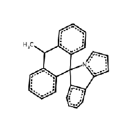 CC1c2ccccc2C2(c3ccccc3-c3cccn32)c2ccccc21